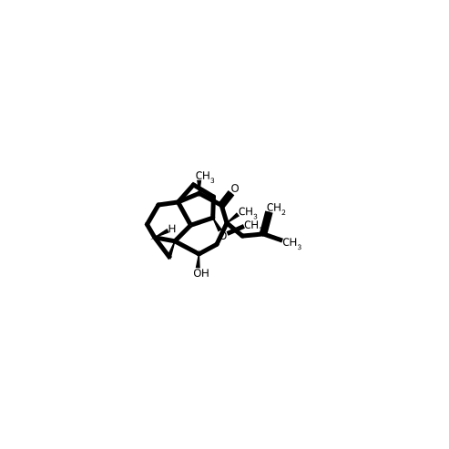 C=C(C)C[C@]1(C)C[C@@H](O)[C@]23C[C@@H]2CCC2(CC[C@@H](OC)C23)[C@@H](C)C1=O